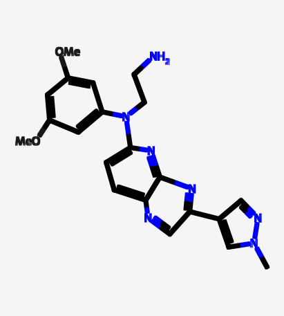 COc1cc(OC)cc(N(CCN)c2ccc3ncc(-c4cnn(C)c4)nc3n2)c1